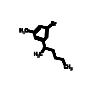 CCCC[C](C)c1cc(C)cc(Br)c1